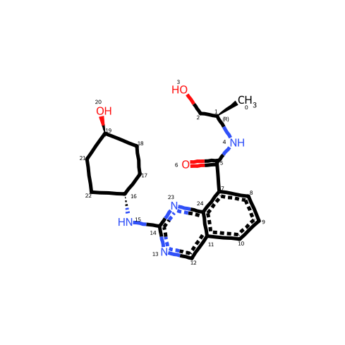 C[C@H](CO)NC(=O)c1cccc2cnc(N[C@H]3CC[C@H](O)CC3)nc12